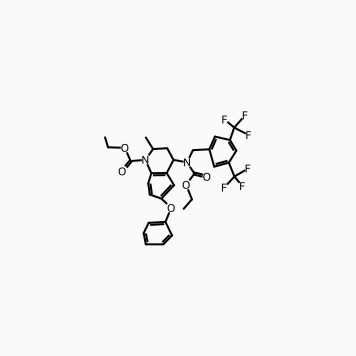 CCOC(=O)N(Cc1cc(C(F)(F)F)cc(C(F)(F)F)c1)C1CC(C)N(C(=O)OCC)c2ccc(Oc3ccccc3)cc21